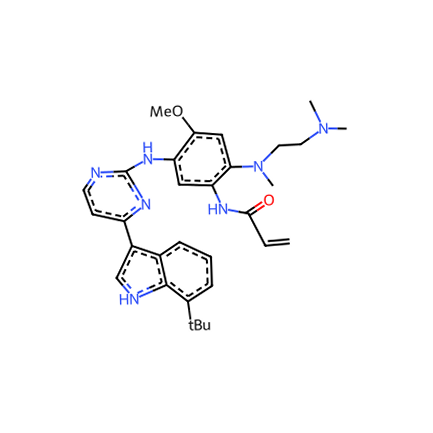 C=CC(=O)Nc1cc(Nc2nccc(-c3c[nH]c4c(C(C)(C)C)cccc34)n2)c(OC)cc1N(C)CCN(C)C